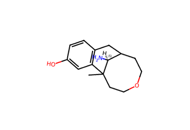 CC12CCOCCC(Cc3ccc(O)cc31)[C@@H]2N